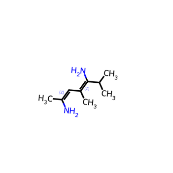 C/C(N)=C/C(C)=C(\N)C(C)C